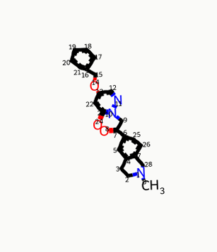 CN1CCc2cc(C(=O)Cn3ncc(OCc4ccccc4)cc3=O)ccc2C1